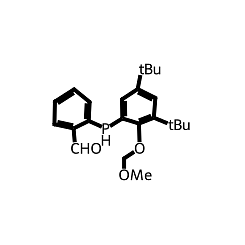 COCOc1c(Pc2ccccc2C=O)cc(C(C)(C)C)cc1C(C)(C)C